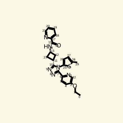 CCOc1ccc(-c2nnc([C@H]3C[C@H](NC(=O)c4ccccn4)C3)n2-c2ccc(C)s2)nc1